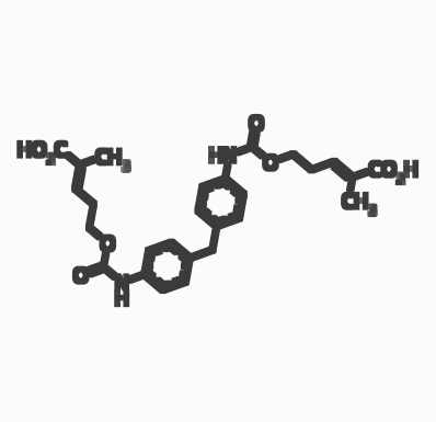 CC(=CCCOC(=O)Nc1ccc(Cc2ccc(NC(=O)OCCC=C(C)C(=O)O)cc2)cc1)C(=O)O